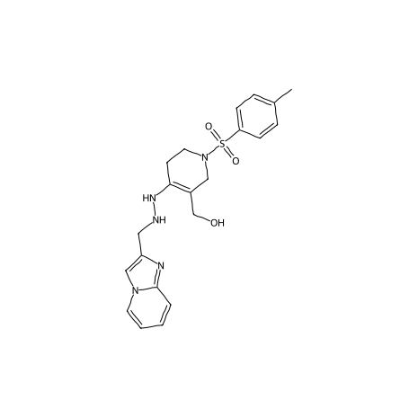 Cc1ccc(S(=O)(=O)N2CCC(NNCc3cn4ccccc4n3)=C(CO)C2)cc1